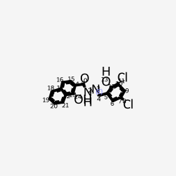 O=C(N/N=C/c1cc(Cl)cc(Cl)c1O)c1ccc2ccccc2c1O